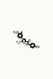 Cc1cc(N2C[C@@H](C(=O)Nc3ccc(C#N)cc3)O[C@@H]2C(F)(F)F)ccc1[N+](=O)[O-]